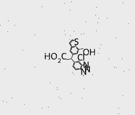 Cn1nnc2c(Cl)c(C(CC(=O)O)c3cc(CO)c4sccc4c3)ccc21